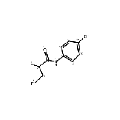 CC(C)CC(C)C(=O)Nc1ccc(Cl)cc1